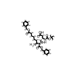 CC(C)(C)OC(=O)N[C@H](CNN(C(=O)OCc1ccccc1)C(N)CCCCCC(=O)OCc1ccccc1)CC(=O)O